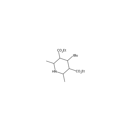 CCOC(=O)C1C(C)NC(C)C(C(=O)OCC)C1C(C)(C)C